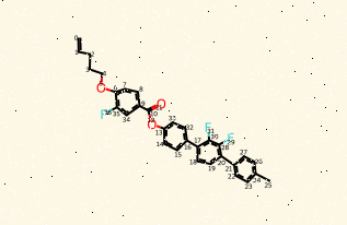 C=CCCCOc1ccc(C(=O)Oc2ccc(-c3ccc(-c4ccc(C)cc4)c(F)c3F)cc2)cc1F